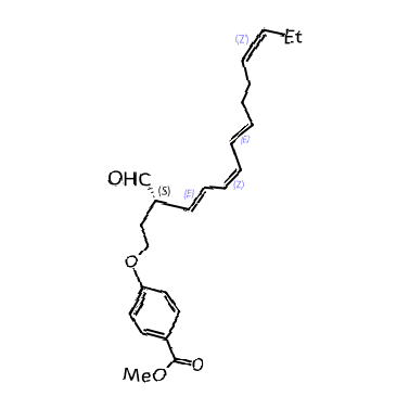 CC/C=C\CC/C=C/C=C\C=C\[C@@H](C=O)CCOc1ccc(C(=O)OC)cc1